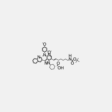 COc1ccc(N(C)c2ncc(/C=C/CCCCCNC(=O)OC(C)(C)C)c3c2c(-c2cnc4ccccc4c2)nn3[C@@H]2CCC[C@@H](C(=O)O)C2)c(OC)c1